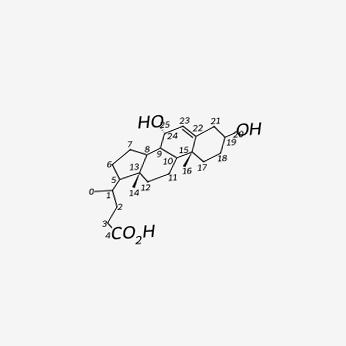 CC(CCC(=O)O)C1CCC2C3C(CC[C@]12C)[C@@]1(C)CCC(O)CC1=C[C@H]3O